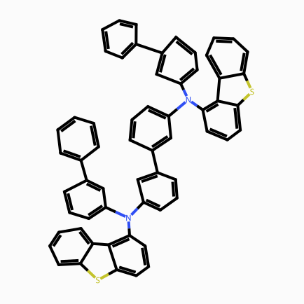 c1ccc(-c2cccc(N(c3cccc(-c4cccc(N(c5cccc(-c6ccccc6)c5)c5cccc6sc7ccccc7c56)c4)c3)c3cccc4sc5ccccc5c34)c2)cc1